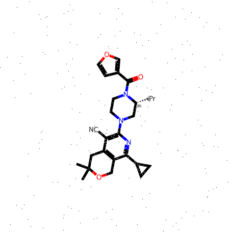 CC(C)[C@@H]1CN(c2nc(C3CC3)c3c(c2C#N)CC(C)(C)OC3)CCN1C(=O)c1ccoc1